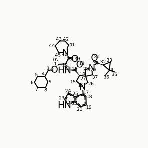 C[C@@H](OCC1CCCCC1)[C@@H](NC(=O)[C@@H]1CN(c2cccc3[nH]ccc23)CC12CN(C(=O)[C@H]1CC1(C)C)C2)C(=O)N1CCCCC1